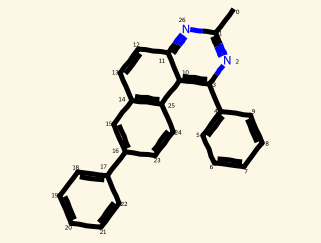 Cc1nc(-c2ccccc2)c2c(ccc3cc(-c4ccccc4)ccc32)n1